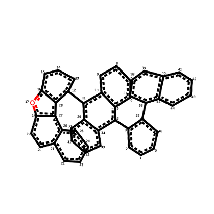 c1ccc(-c2c3ccccc3c(-c3cccc4oc5ccc6ccccc6c5c34)c3ccccc23)c(-c2cccc3ccccc23)c1